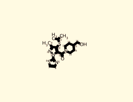 Cc1nn(-c2nccs2)c(C(=O)N2CCC(CO)CC2)c1SC(C)C